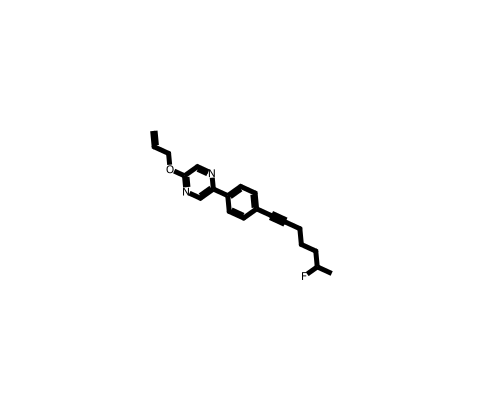 C=CCOc1cnc(-c2ccc(C#CCCCC(C)F)cc2)cn1